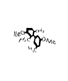 COc1cc(C)cc(-c2c(C)ccc(OC)c2C)c1